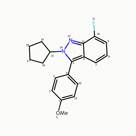 COc1ccc(-c2c3cccc(F)c3nn2C2CCCC2)cc1